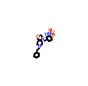 CS(=O)(=O)Nc1cccc(CN2CCOCC23CCN(CCc2ccccc2)CC3)c1